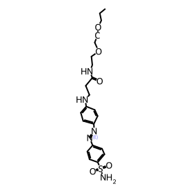 CCCOCCOCCNC(=O)CCNc1ccc(/N=N/c2ccc(S(N)(=O)=O)cc2)cc1